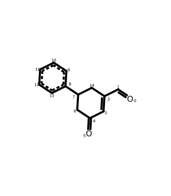 O=CC1=CC(=O)CC(c2ccccc2)C1